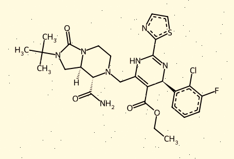 CCOC(=O)C1=C(CN2CCN3C(=O)N(C(C)(C)C)C[C@@H]3[C@H]2C(N)=O)NC(c2nccs2)=N[C@H]1c1cccc(F)c1Cl